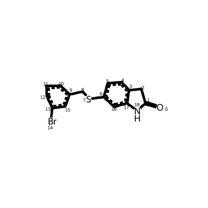 O=C1Cc2ccc(SCc3cccc(Br)c3)cc2N1